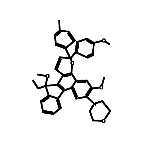 CCC1(OC)c2ccccc2-c2c1c1c(c3cc(OC)c(N4CCOCC4)cc23)OC(c2ccc(C)cc2)(c2ccc(OC)cc2)C=C1